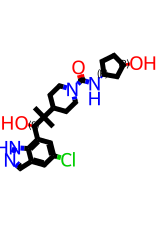 CC(C)(C1CCN(C(=O)N[C@@H]2CC[C@@H](O)C2)CC1)[C@H](O)c1cc(Cl)cc2cn[nH]c12